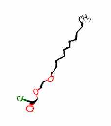 C=CCCCCCCCCCOCCOCC(=O)Cl